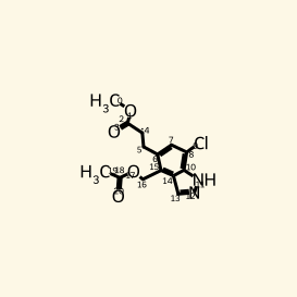 COC(=O)[CH]Cc1cc(Cl)c2[nH]ncc2c1COC(C)=O